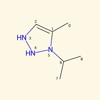 CC1=CNNN1C(C)C